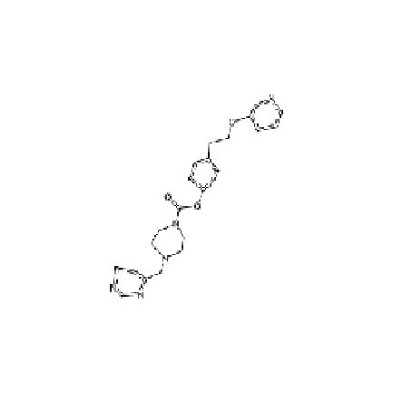 O=C(Oc1ccc(CCOc2cccnc2)cc1)N1CCN(Cc2ccncn2)CC1